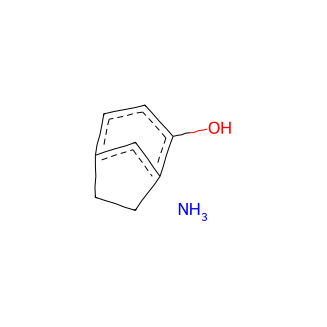 N.Oc1ccc2cc1CC2